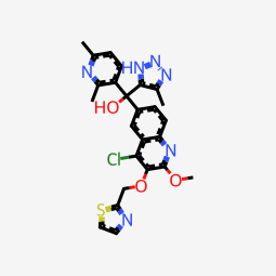 COc1nc2ccc(C(O)(c3ccc(C)nc3C)c3[nH]nnc3C)cc2c(Cl)c1OCc1nccs1